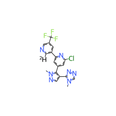 [2H]c1ncc(C(F)(F)F)cc1-c1cc(-c2c(-c3nncn3C)cnn2C)cc(Cl)n1